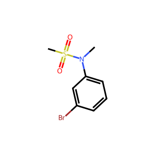 CN(c1cccc(Br)c1)S(C)(=O)=O